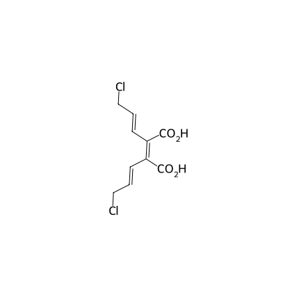 O=C(O)C(/C=C/CCl)=C(/C=C/CCl)C(=O)O